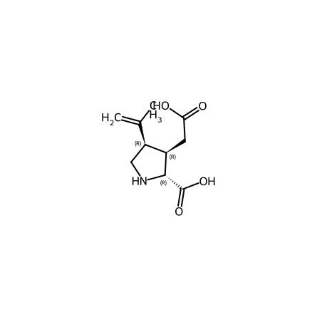 C=C(C)[C@@H]1CN[C@@H](C(=O)O)[C@@H]1CC(=O)O